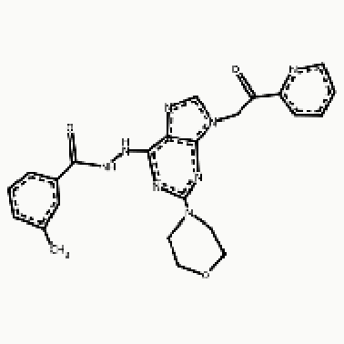 Cc1cccc(C(=O)NNc2nc(N3CCOCC3)nc3c2ncn3CC(=O)c2ccccn2)c1